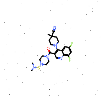 CN(C)SN1CCN(C(=O)c2cnc3c(F)cc(F)cc3c2N2CCC(C)(C#N)CC2)CC1